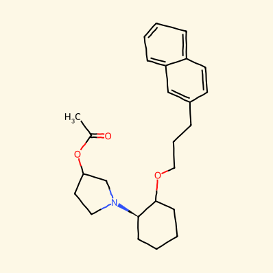 CC(=O)OC1CCN([C@@H]2CCCCC2OCCCc2ccc3ccccc3c2)C1